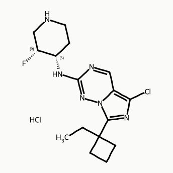 CCC1(c2nc(Cl)c3cnc(N[C@H]4CCNC[C@H]4F)nn23)CCC1.Cl